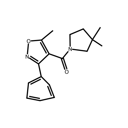 Cc1onc(-c2ccccc2)c1C(=O)N1CCC(C)(C)C1